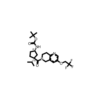 CC(C)[C@]1(C(=O)N2CCc3ncc(OCC(F)(F)F)cc3C2)CC[C@@H](NC(=O)OC(C)(C)C)C1